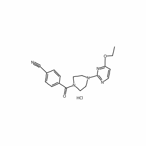 CCOc1ccnc(N2CCN(C(=O)c3ccc(C#N)cc3)CC2)n1.Cl